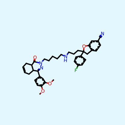 COc1ccc(C2=NN(CCCCCNCCCC3(c4ccc(F)cc4)Cc4ccc(C#N)cc4O3)C(=O)C3CC=CCC23)cc1OC